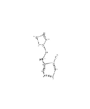 Clc1ccccc1NCC1CO[C]=N1